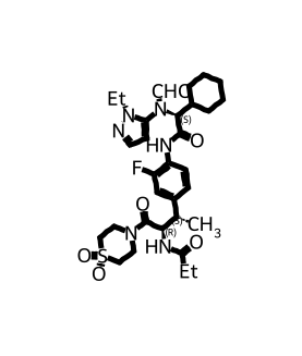 CCC(=O)N[C@@H](C(=O)N1CCS(=O)(=O)CC1)[C@@H](C)c1ccc(NC(=O)[C@H](C2CCCCC2)N(C=O)c2ccnn2CC)c(F)c1